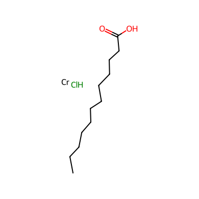 CCCCCCCCCCCC(=O)O.Cl.[Cr]